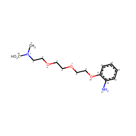 CN(CCOCCOCCOc1ccccc1N)C(=O)O